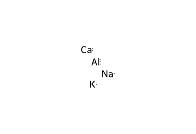 [Al].[Ca].[K].[Na]